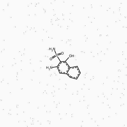 Nc1cc2ccccc2c(O)c1S(N)(=O)=O